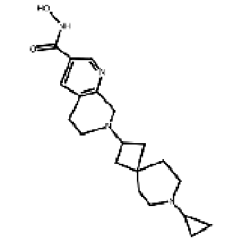 O=C(NO)c1cnc2c(c1)CCN(C1CC3(CCN(C4CC4)CC3)C1)C2